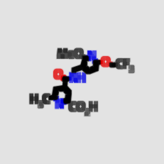 COc1nc(OCC(F)(F)F)ccc1CNC(=O)c1cc(C)nc(C(=O)O)c1